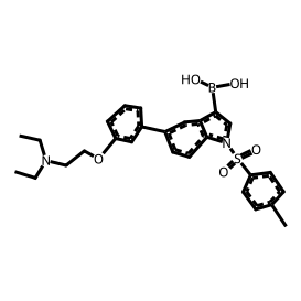 CCN(CC)CCOc1cccc(-c2ccc3c(c2)c(B(O)O)cn3S(=O)(=O)c2ccc(C)cc2)c1